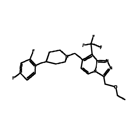 CCOCc1nnc2c(C(F)(F)F)c(CN3CCC(c4ccc(F)cc4F)CC3)ccn12